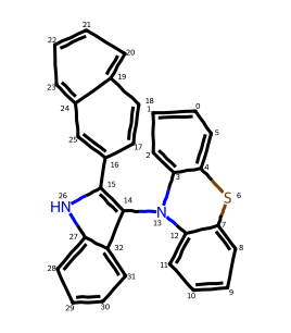 c1ccc2c(c1)Sc1ccccc1N2c1c(-c2ccc3ccccc3c2)[nH]c2ccccc12